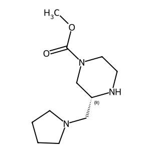 COC(=O)N1CCN[C@H](CN2CCCC2)C1